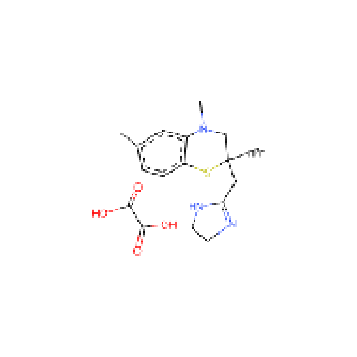 CCCC1(CC2=NCCN2)CN(C)c2cc(C)ccc2S1.O=C(O)C(=O)O